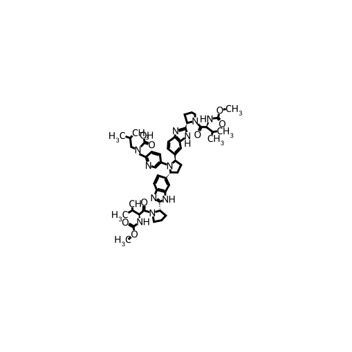 COC(=O)N[C@H](C(=O)N1CCC[C@H]1c1nc2ccc([C@H]3CC[C@H](c4ccc5nc([C@@H]6CCCN6C(=O)[C@@H](NC(=O)OC)C(C)C)[nH]c5c4)N3c3ccc(CN(CC(C)C)C(=O)O)nc3)cc2[nH]1)C(C)C